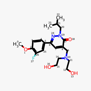 COc1ccc(-c2cc(CN(CCO)CCO)c(=O)n(CC(C)C)n2)cc1F